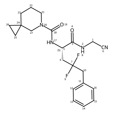 N#CCNC(=O)[C@H](CC(F)(F)Cc1ccccc1)NC(=O)N1CCCC2(CC2)C1